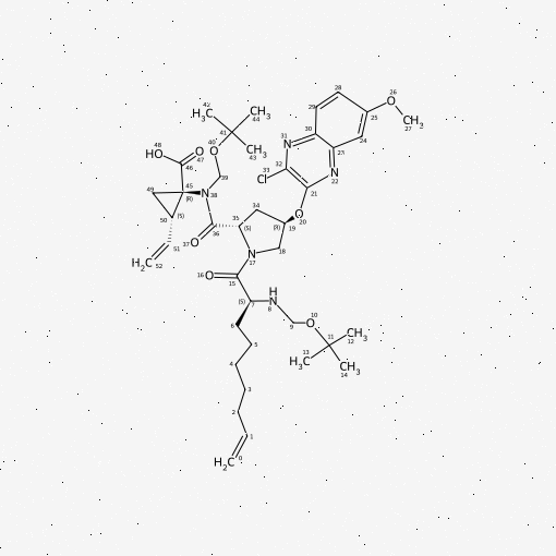 C=CCCCCC[C@H](NCOC(C)(C)C)C(=O)N1C[C@H](Oc2nc3cc(OC)ccc3nc2Cl)C[C@H]1C(=O)N(COC(C)(C)C)[C@]1(C(=O)O)C[C@H]1C=C